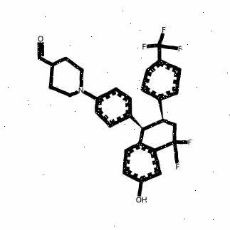 O=CC1CCN(c2ccc([C@@H]3c4ccc(O)cc4C(F)(F)C[C@@H]3c3ccc(C(F)(F)F)cc3)cc2)CC1